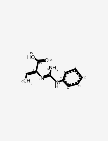 C/C=C(\N=C(/N)Nc1ccccc1)C(=O)O